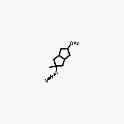 CC(=O)OC1CC2CC(C)(N=[N+]=[N-])CC2C1